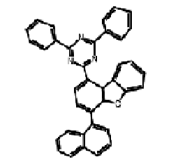 C1=C(c2cccc3ccccc23)C2Oc3ccccc3C2C(c2nc(-c3ccccc3)nc(-c3ccccc3)n2)=C1